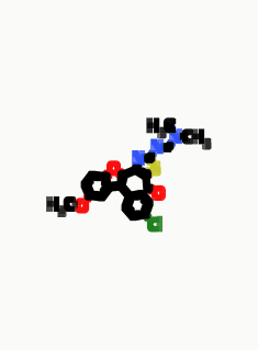 COc1ccc2oc(-c3nc(N=CN(C)C)sc3C=O)c(-c3ccc(Cl)cc3)c2c1